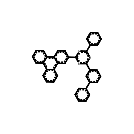 c1ccc(-c2cccc(-c3nc(-c4ccccc4)nc(-c4ccc5c6ccccc6c6ccccc6c5c4)n3)c2)cc1